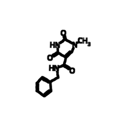 Cn1cc(C(=O)NCc2ccccc2)c(=O)[nH]c1=O